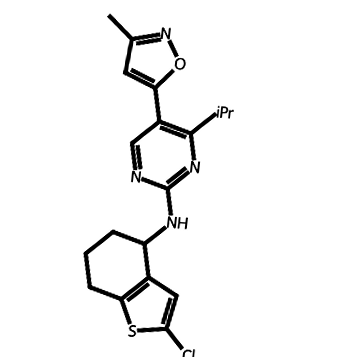 Cc1cc(-c2cnc(NC3CCCc4sc(Cl)cc43)nc2C(C)C)on1